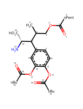 CCCCCC(=O)OCC(C)C(c1ccc(OC(=O)CCCC)c(OC(=O)CCCC)c1)[C@H](N)C(=O)O